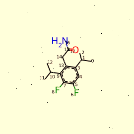 CC(C)c1cc(F)c(F)c(C(C)C)c1CC(N)=O